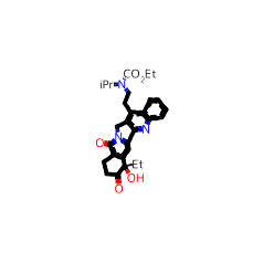 CCOC(=O)N(CCc1c2c(nc3ccccc13)-c1cc3c(c(=O)n1C2)CCC(=O)[C@]3(O)CC)C(C)C